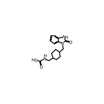 O=C(O)NCC1CCC(Cn2c(=O)[nH]c3ccccc32)CC1